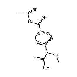 COC(C(=O)O)c1ccc(C(=N)OC(C)=N)cc1